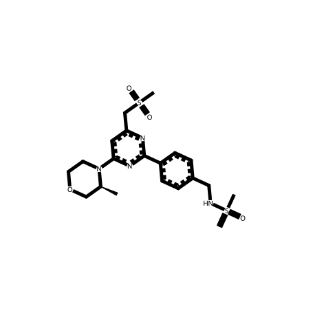 C=S(C)(=O)NCc1ccc(-c2nc(CS(C)(=O)=O)cc(N3CCOC[C@@H]3C)n2)cc1